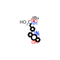 CC(C)(C)OC(=O)NC(Cc1ccc(-n2nnc3c2-c2ccccc2CC(O)c2ccccc2-3)cc1)C(=O)O